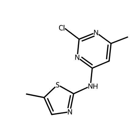 Cc1cc(Nc2ncc(C)s2)nc(Cl)n1